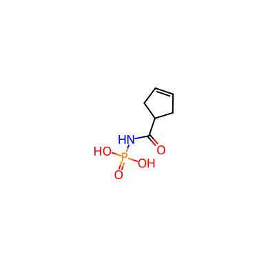 O=C(NP(=O)(O)O)C1CC=CC1